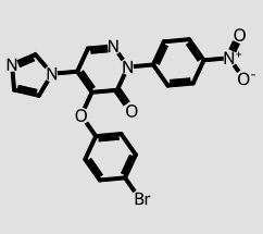 O=c1c(Oc2ccc(Br)cc2)c(-n2ccnc2)cnn1-c1ccc([N+](=O)[O-])cc1